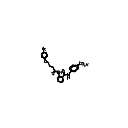 CC(=O)c1ccc(OCCCC(=O)Nc2ccccc2C(=O)Nc2ccc(C(=O)O)cc2)cc1